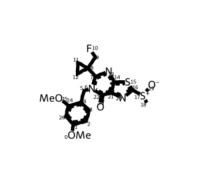 COc1ccc(Cn2c(C3(CF)CC3)nc3sc([S+](C)[O-])nc3c2=O)c(OC)c1